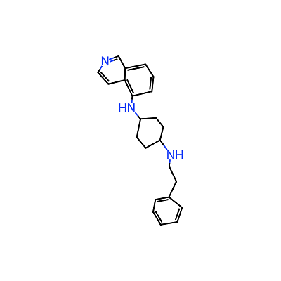 c1ccc(CCNC2CCC(Nc3cccc4cnccc34)CC2)cc1